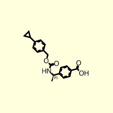 C[C@@H](NC(=O)OCc1ccc(C2CC2)cc1)c1ccc(C(=O)O)cc1